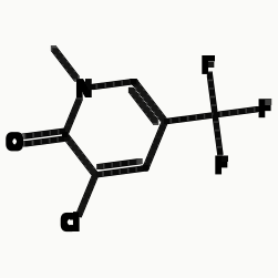 Cn1cc(C(F)(F)F)cc(Cl)c1=O